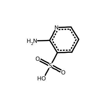 Nc1ncccc1S(=O)(=O)O